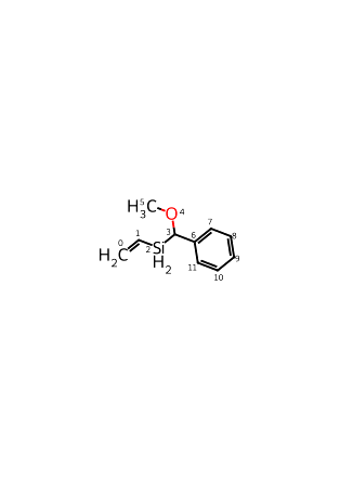 C=C[SiH2]C(OC)c1ccccc1